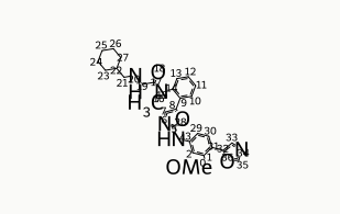 COc1cc(Nc2ncc(-c3ccccc3N(C)C(=O)CNCC3CCCCC3)o2)ccc1-c1cnco1